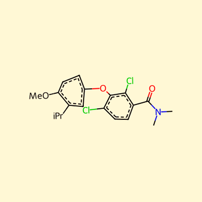 COc1ccc(Oc2c(Cl)ccc(C(=O)N(C)C)c2Cl)cc1C(C)C